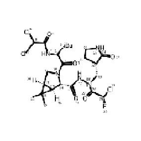 CC[C@H](C)[C@H](NC(=O)C(Cl)Cl)C(=O)N1C[C@H]2[C@@H]([C@H]1C(=O)NN(C[C@@H]1CCNC1=O)C(=O)[C@H](F)Cl)C2(C)C